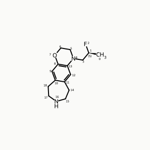 C[C@H](F)CN1CCOc2cc3c(cc21)CCNCC3